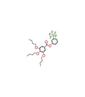 CCCCOc1cc(C(=O)Oc2cccc(S(F)(F)(F)(F)F)c2)cc(OCCCC)c1OCCCC